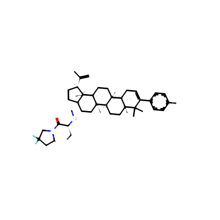 C=C(C)[C@@H]1CC[C@]2(CN[C@@H](CC(=O)O)C(=O)N3CCC(F)(F)C3)CC[C@]3(C)[C@H](CC[C@@H]4[C@@]5(C)CC=C(c6ccc(C(=O)O)cc6)C(C)(C)[C@@H]5CC[C@]43C)[C@@H]12